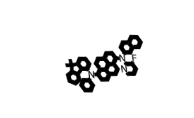 CC1(C)c2ccccc2-c2c(N(c3ccccc3)c3ccc4ccc5c(N(c6ccc7ccccc7c6)c6ncccc6F)ccc6ccc3c4c65)cccc21